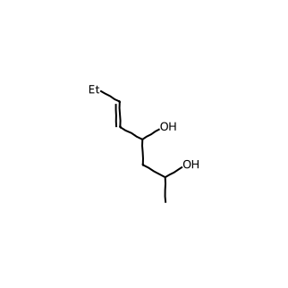 CCC=CC(O)CC(C)O